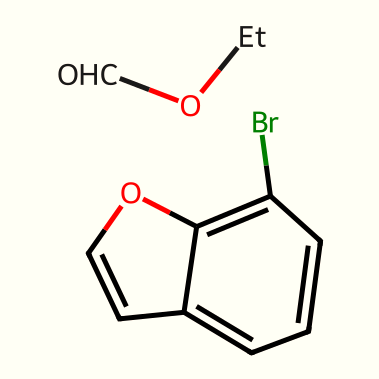 Brc1cccc2ccoc12.CCOC=O